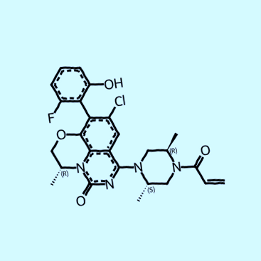 C=CC(=O)N1C[C@H](C)N(c2nc(=O)n3c4c(c(-c5c(O)cccc5F)c(Cl)cc24)OC[C@H]3C)C[C@H]1C